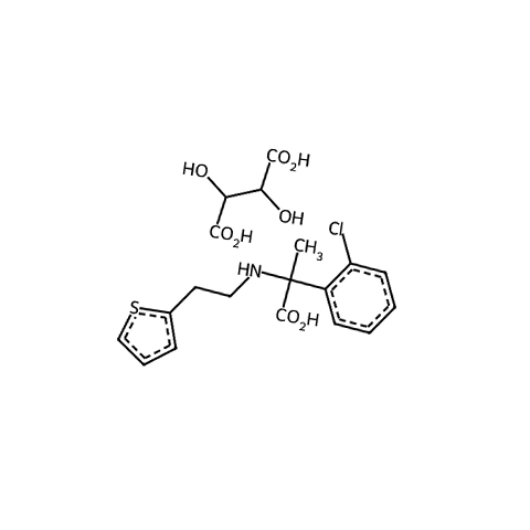 CC(NCCc1cccs1)(C(=O)O)c1ccccc1Cl.O=C(O)C(O)C(O)C(=O)O